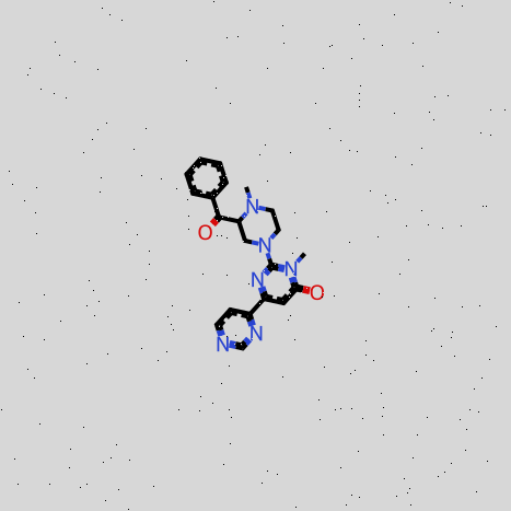 CN1CCN(c2nc(-c3ccncn3)cc(=O)n2C)CC1C(=O)c1ccccc1